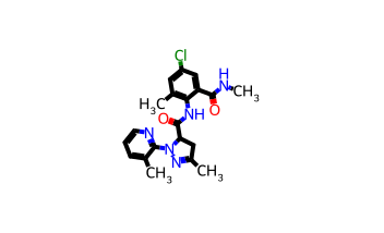 CNC(=O)c1cc(Cl)cc(C)c1NC(=O)C1CC(C)=NN1c1ncccc1C